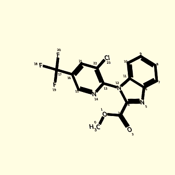 COC(=O)c1nc2ccccc2n1-c1ncc(C(F)(F)F)cc1Cl